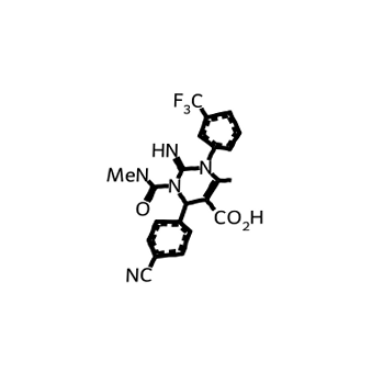 CNC(=O)N1C(=N)N(c2cccc(C(F)(F)F)c2)C(C)=C(C(=O)O)C1c1ccc(C#N)cc1